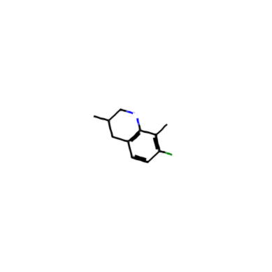 Cc1c(Cl)ccc2c1NCC(C)C2